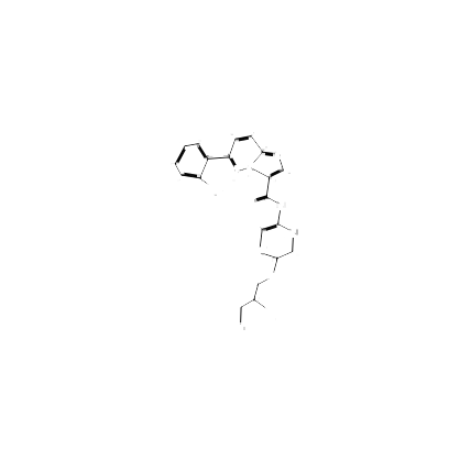 O=C(NC1=CNC(OCC(O)CO)CN1)c1cnc2ccc(-c3ccccc3C(F)(F)F)nn12